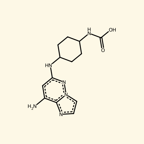 Nc1cc(NC2CCC(NC(=O)O)CC2)nn2ccnc12